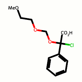 COCCOCOC(Cl)(C(=O)O)c1ccccc1